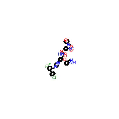 CN(c1ccc(S(=O)(=O)NC(=O)c2ccc(N3CCN(CC4=C(c5ccc(Cl)cc5)CCC(F)(F)C4)CC3)cc2Oc2cccc3[nH]ncc23)cc1[N+](=O)[O-])C1CCOCC1